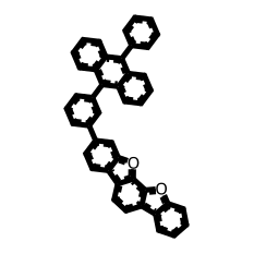 c1ccc(-c2c3ccccc3c(-c3cccc(-c4ccc5c(c4)oc4c5ccc5c6ccccc6oc54)c3)c3ccccc23)cc1